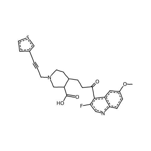 COc1ccc2ncc(F)c(C(=O)CCC3CCN(CC#Cc4ccsc4)CC3C(=O)O)c2c1